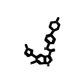 C=C(Nc1ccc(N2CCN(C)CC2)nc1)c1n[nH]c2cc(F)c(-c3cnn(C)c3)cc12